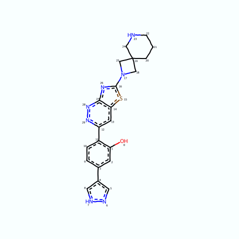 Oc1cc(-c2cn[nH]c2)ccc1-c1cc2sc(N3CC4(CCCNC4)C3)nc2nn1